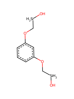 O[SiH2]COc1cccc(OC[SiH2]O)c1